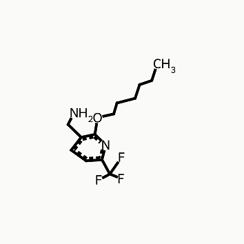 CCCCCCOc1nc(C(F)(F)F)ccc1CN